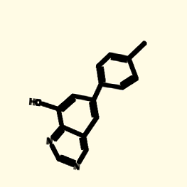 Cc1ccc(-c2cc(O)c3ncncc3c2)cc1